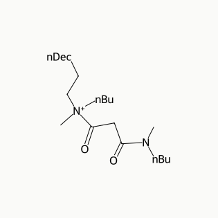 CCCCCCCCCCCC[N+](C)(CCCC)C(=O)CC(=O)N(C)CCCC